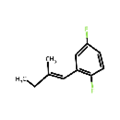 CC/C(C)=C/c1cc(F)ccc1F